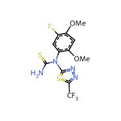 COc1cc(OC)c(N(C(N)=S)c2nnc(C(F)(F)F)s2)cc1F